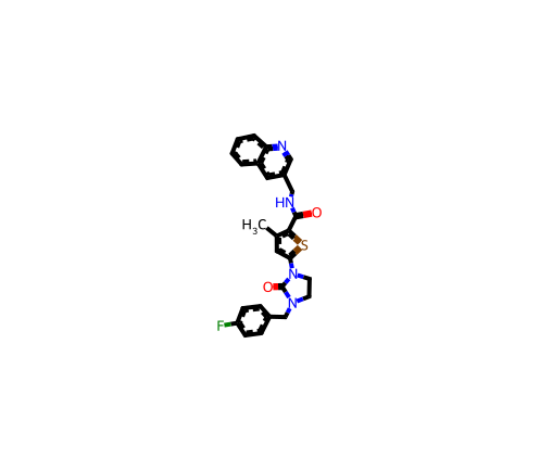 Cc1cc(N2CCN(Cc3ccc(F)cc3)C2=O)sc1C(=O)NCc1cnc2ccccc2c1